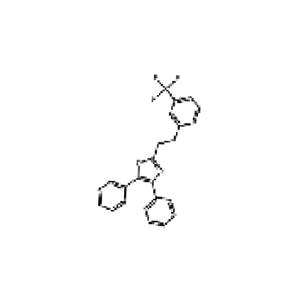 FC(F)(F)c1cccc(CCc2nc(-c3ccccc3)c(-c3ccccc3)o2)c1